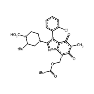 Cn1c(=O)c2c(nc(N3CCN(C(=O)O)C(C(C)(C)C)C3)n2-c2ccccc2Cl)n(COC(=O)C(C)(C)C)c1=O